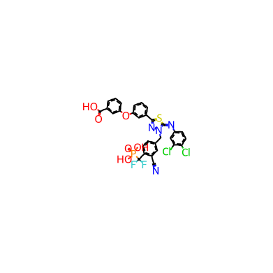 N#Cc1cc(Cn2nc(-c3cccc(Oc4cccc(C(=O)O)c4)c3)s/c2=N/c2ccc(Cl)c(Cl)c2)ccc1C(F)(F)P(=O)(O)O